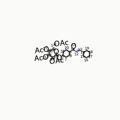 CC(=O)OC[C@@H]1O[C@@H](Oc2ccc(C(=O)/C=C/c3ccccc3)cc2)[C@@H](OC(C)=O)[C@H](OC(C)=O)[C@H]1OC(C)=O